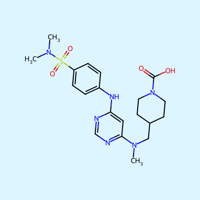 CN(CC1CCN(C(=O)O)CC1)c1cc(Nc2ccc(S(=O)(=O)N(C)C)cc2)ncn1